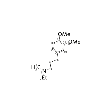 CCN(C)CCCc1ccc(OC)c(OC)c1